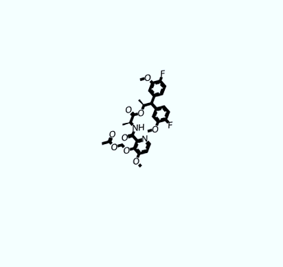 COc1cc(C(c2ccc(F)c(OC)c2)[C@H](C)OC(=O)[C@H](C)NC(=O)c2nccc(OC)c2OCOC(C)=O)ccc1F